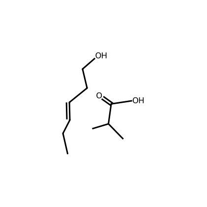 CC(C)C(=O)O.CCC=CCCO